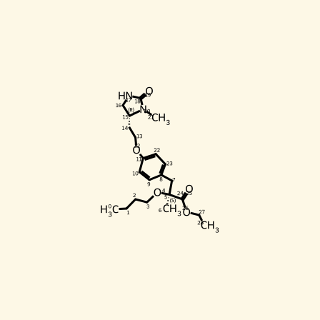 CCCCO[C@@](C)(Cc1ccc(OCC[C@@H]2CNC(=O)N2C)cc1)C(=O)OCC